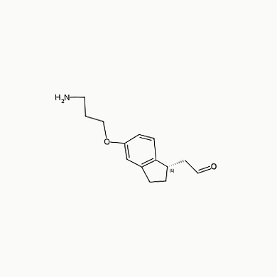 NCCCOc1ccc2c(c1)CC[C@H]2CC=O